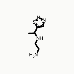 CC(NCCN)c1cnns1